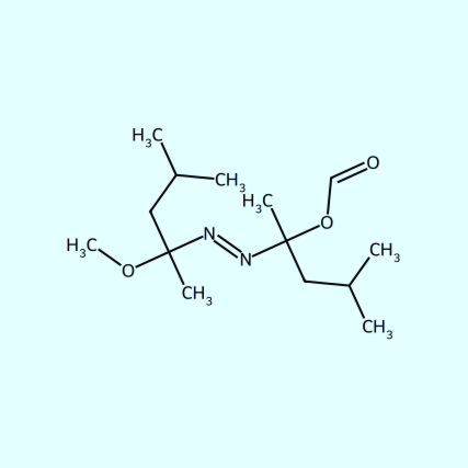 COC(C)(CC(C)C)N=NC(C)(CC(C)C)OC=O